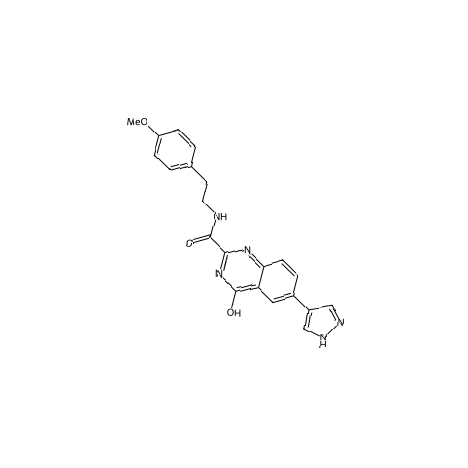 COc1ccc(CCNC(=O)c2nc(O)c3cc(-c4cn[nH]c4)ccc3n2)cc1